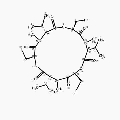 CC(C)[C@@H]1C(=O)O[C@@H](CI)C(=O)N(C)[C@H](C(C)C)C(=O)O[C@@H](CI)C(=O)N(C)[C@H](C(C)C)C(=O)O[C@@H](CI)C(=O)N1C